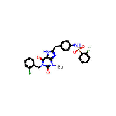 CCCCn1c(=O)n(Cc2ccccc2F)c(=O)c2[nH]c(Cc3ccc(NS(=O)(=O)c4ccccc4Cl)cc3)nc21